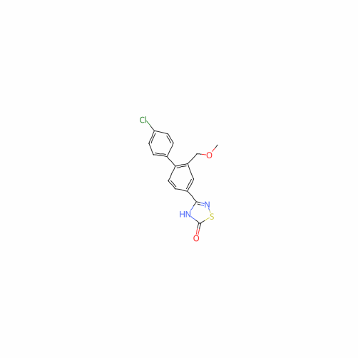 COCc1cc(-c2nsc(=O)[nH]2)ccc1-c1ccc(Cl)cc1